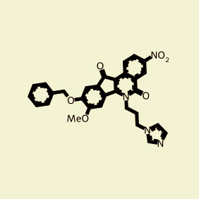 COc1cc2c(cc1OCc1ccccc1)C(=O)c1c-2n(CCCn2ccnc2)c(=O)c2cc([N+](=O)[O-])ccc12